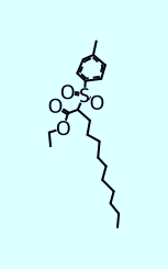 CCCCCCCCCCC(C(=O)OCC)S(=O)(=O)c1ccc(C)cc1